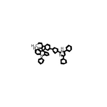 C/C=C\C1=C(N)C2(c3cc(-c4ccc(C5N=C(c6ccccc6)C=C(c6ccccc6)N5)cc4)ccc31)c1ccccc1N(c1ccccc1)c1ccccc12